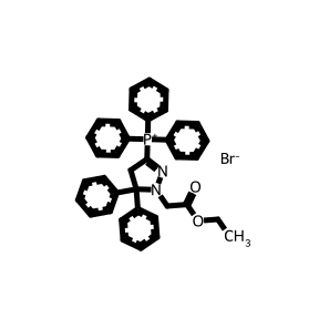 CCOC(=O)CN1N=C([P+](c2ccccc2)(c2ccccc2)c2ccccc2)CC1(c1ccccc1)c1ccccc1.[Br-]